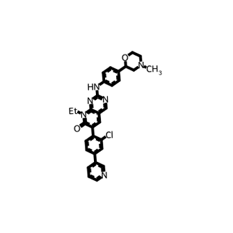 CCn1c(=O)c(-c2ccc(-c3cccnc3)cc2Cl)cc2cnc(Nc3ccc(C4CN(C)CCO4)cc3)nc21